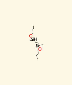 CCCCO[SiH](C)CCC[Si](C)(C)OCCCC